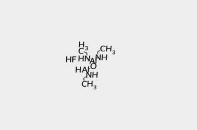 CC[NH][AlH][O][Al]([NH]CC)[NH]CC.F